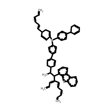 C=C\C=C/C=C/C(=C\C=C)C(c1cccc2c1sc1ccccc12)C(C)C1C=CC(c2ccc(N(C3=CCC(/C=C/C=C\C=C)C=C3)c3ccc(C4C=CC=CC4)cc3)cc2)=CC1